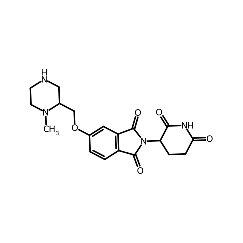 CN1CCNCC1COc1ccc2c(c1)C(=O)N(C1CCC(=O)NC1=O)C2=O